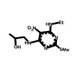 CCNc1nc(SC)nc(NCC(C)O)c1[N+](=O)[O-]